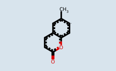 Cc1[c]cc2oc(=O)ccc2c1